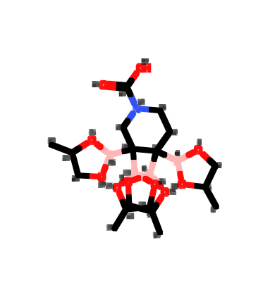 CC1COB(C2(B3OCC(C)O3)CCN(C(=O)O)CC2(B2OCC(C)O2)B2OCC(C)O2)O1